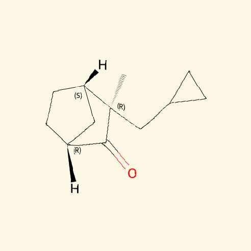 C[C@]1(CC2CC2)C(=O)[C@@H]2CC[C@H]1C2